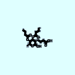 CCCC(=O)O[C@H]1[C@H](OC(=O)CCC)[C@H](CCCC(=O)O)C(O)O[C@H]1C